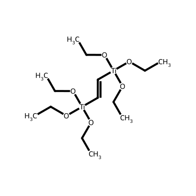 CC[O][Ti]([CH]=[CH][Ti]([O]CC)([O]CC)[O]CC)([O]CC)[O]CC